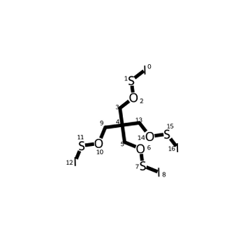 ISOCC(COSI)(COSI)COSI